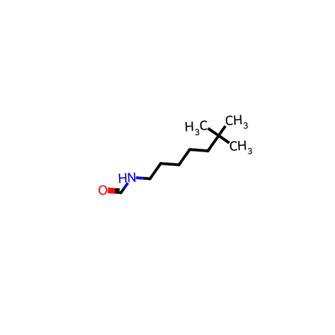 CC(C)(C)CCCCCNC=O